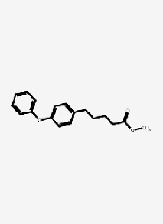 COC(=O)CCCCc1ccc(Oc2ccccc2)cc1